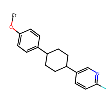 CCOc1ccc(C2CCC(c3ccc(F)nc3)CC2)cc1